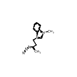 C=C(CCn1c[n+](C)c2ccccc21)N=[N+]=[N-]